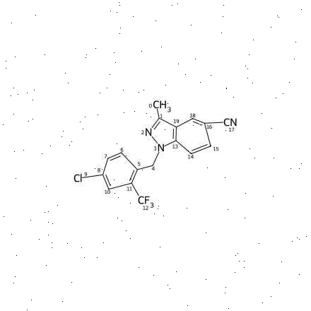 Cc1nn(Cc2ccc(Cl)cc2C(F)(F)F)c2ccc(C#N)cc12